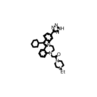 CCN1CCN(C(=O)CN2CCn3c(c(C4CCCCC4)c4ccc(-c5nn[nH]n5)cc43)-c3ccccc32)CC1